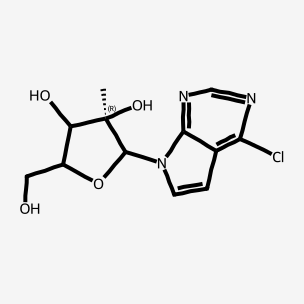 C[C@@]1(O)C(O)C(CO)OC1n1ccc2c(Cl)ncnc21